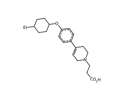 CCC1CCC(Oc2ccc(C3=CCN(CCC(=O)O)CC3)cc2)CC1